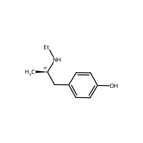 CCN[C@H](C)Cc1ccc(O)cc1